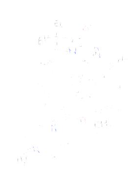 CCCC(NC(=O)N1C(=O)C(CC)(CC)C1Oc1ccc(C(=O)N2CCN(C)CC2)cc1)c1ccc(C)cc1